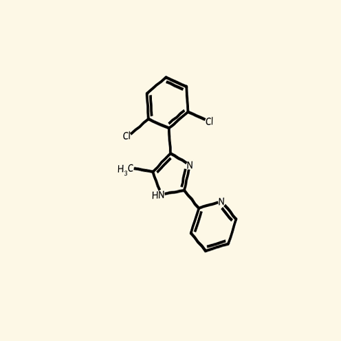 Cc1[nH]c(-c2ccccn2)nc1-c1c(Cl)cccc1Cl